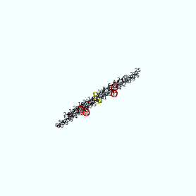 CCCCCCCCCCCCSCCCCCCCCCCCC.CCCCCCCCCCOC(=O)CCCCCSCCCCCC(=O)OCCCCCCCCCC